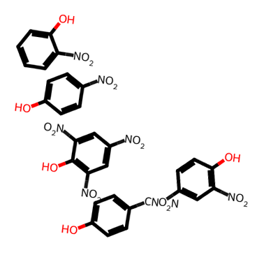 N#Cc1ccc(O)cc1.O=[N+]([O-])c1cc([N+](=O)[O-])c(O)c([N+](=O)[O-])c1.O=[N+]([O-])c1ccc(O)c([N+](=O)[O-])c1.O=[N+]([O-])c1ccc(O)cc1.O=[N+]([O-])c1ccccc1O